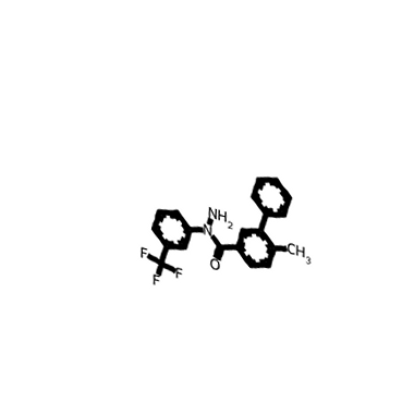 Cc1ccc(C(=O)N(N)c2cccc(C(F)(F)F)c2)cc1-c1ccccc1